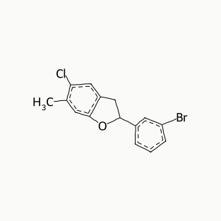 Cc1cc2c(cc1Cl)CC(c1cccc(Br)c1)O2